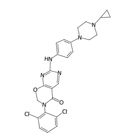 O=C1c2cnc(Nc3ccc(N4CCN(C5CC5)CC4)cc3)nc2OCN1c1c(Cl)cccc1Cl